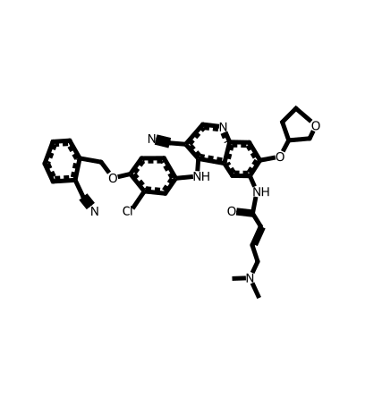 CN(C)C/C=C/C(=O)Nc1cc2c(Nc3ccc(OCc4ccccc4C#N)c(Cl)c3)c(C#N)cnc2cc1OC1CCOC1